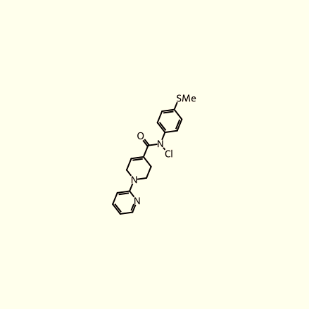 CSc1ccc(N(Cl)C(=O)C2=CCN(c3ccccn3)CC2)cc1